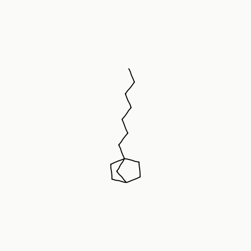 CCCCCCCC12CCC(CC1)C2